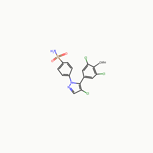 COc1c(Cl)cc(-c2c(Cl)cnn2-c2ccc(S(N)(=O)=O)cc2)cc1Cl